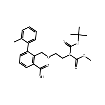 COC(=O)N(CCOCc1c(C(=O)O)cccc1-c1ccccc1C)C(=O)OC(C)(C)C